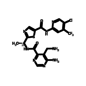 C[C@@H](NC(=O)c1ncnc(N)c1CN)c1ncc(C(=O)Nc2cc(C(F)(F)F)c(Cl)cn2)s1